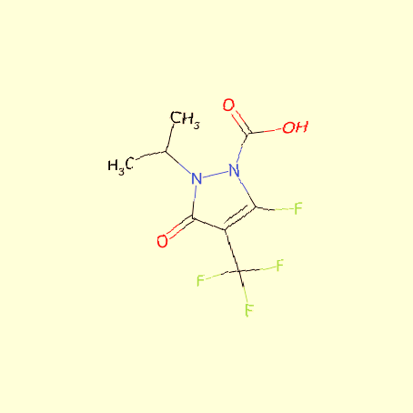 CC(C)n1c(=O)c(C(F)(F)F)c(F)n1C(=O)O